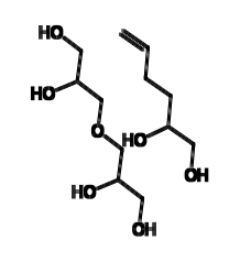 C=CCCC(O)CO.OCC(O)COCC(O)CO